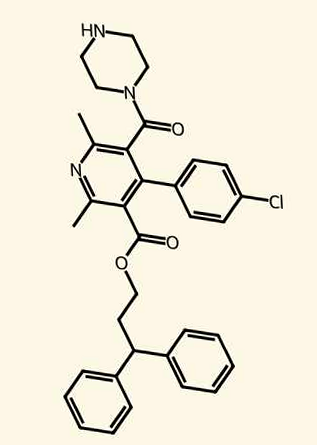 Cc1nc(C)c(C(=O)N2CCNCC2)c(-c2ccc(Cl)cc2)c1C(=O)OCCC(c1ccccc1)c1ccccc1